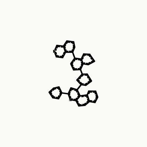 c1ccc(-c2cc(-c3cccc(-c4ccc(-c5cccc6cnccc56)c5ccccc45)c3)c3c(ccc4ccccc43)n2)cc1